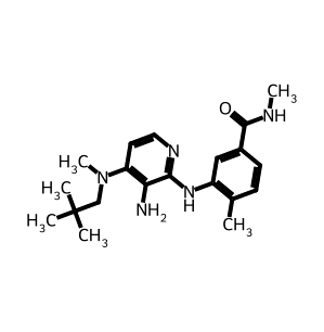 CNC(=O)c1ccc(C)c(Nc2nccc(N(C)CC(C)(C)C)c2N)c1